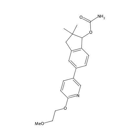 COCCOc1ccc(-c2ccc3c(c2)CC(C)(C)C3OC(N)=O)cn1